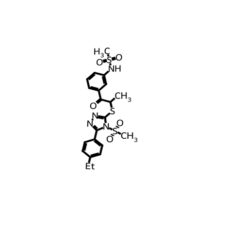 CCc1ccc(-c2nnc(SC(C)C(=O)c3cccc(NS(C)(=O)=O)c3)n2S(C)(=O)=O)cc1